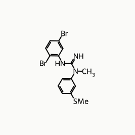 CSc1cccc(N(C)C(=N)Nc2cc(Br)ccc2Br)c1